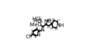 COC(=Nc1ccc(Cl)cn1)C1=NOC2(CCNCC2)C1.Cl.Cl